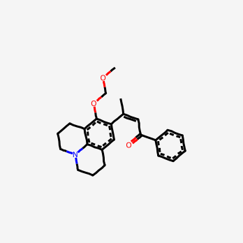 COCOc1c(/C(C)=C\C(=O)c2ccccc2)cc2c3c1CCCN3CCC2